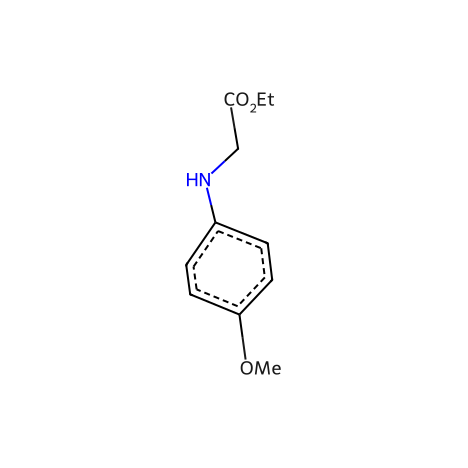 CCOC(=O)CNc1ccc(OC)cc1